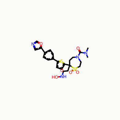 CN(C)C(=O)N1CCC(CC(=O)NO)(c2ccc(-c3ccc(-c4cnco4)cc3)s2)S(=O)(=O)CC1